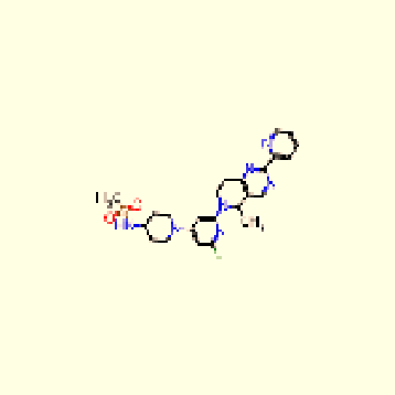 CC1c2cnc(-c3ccccn3)nc2CCN1c1cc(N2CCC(NS(C)(=O)=O)CC2)cc(F)n1